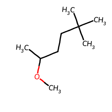 COC(C)CCC(C)(C)C